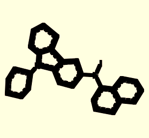 IN(c1ccc2c(c1)c1ccccc1n2-c1ccccc1)c1cccc2ccccc12